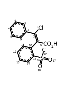 O=C(O)C(=C(Cl)c1ccccc1)c1ccccc1S(=O)(=O)Cl